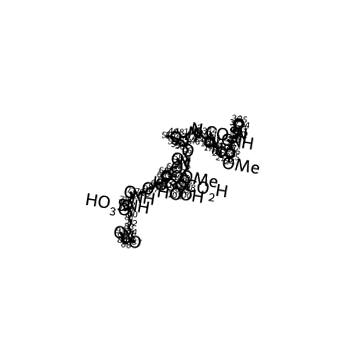 COCCN(CCOC12CC(Cn3ncc(-c4ccc(N5CCc6c(OC)ccc(C(=O)Nc7nc8ccccc8s7)c6C5)nc4C(=O)O)c3C)C3CCC(C)(C1)CC3(C)C2)C(=O)OCc1ccc(OCCOCCNC(=O)[C@H](CS(=O)(=O)O)NC(=O)CCCCCN2C(=O)C=CC2=O)cc1O[C@@H]1O[C@H](C(=O)O)[C@@H](O)[C@H](O)[C@H]1O